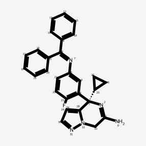 NC1=N[C@@](c2cc(N=C(c3ccccc3)c3ccccc3)ccc2F)(C2CC2)c2ccnn2C1